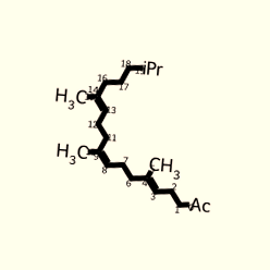 CC(=O)CC/C=C(\C)CC/C=C(/C)CC/C=C(\C)CCCC(C)C